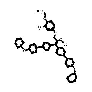 CCOC(COc1ccc(OCC(=O)O)c(C)c1)=C(c1ccc(-c2ccc(Oc3ccccc3)cc2)cc1)c1ccc(-c2ccc(Oc3ccccc3)cc2)cc1